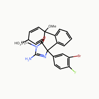 COC1(c2ccccc2C2(c3ccc(F)c(Br)c3)N=C(N)N(C)C2=O)C=CC(S(=O)(=O)O)C=C1